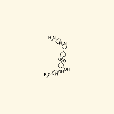 NC1CCN(c2cc(-c3ccc(S(=O)(=O)C4CC[C@@H](Nc5ccc(C(F)(F)F)cn5)[C@@H](O)C4)cc3)ccn2)CC1